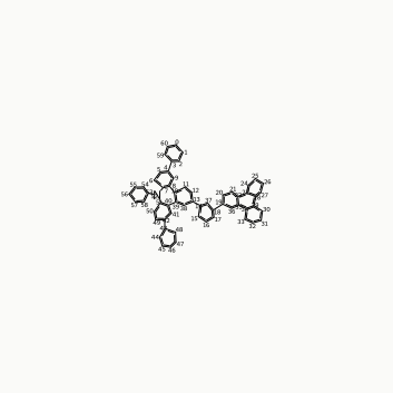 c1ccc(-c2ccc3c(c2)-c2ccc(-c4cccc(-c5ccc6c7ccccc7c7ccccc7c6c5)c4)cc2-c2cc(-c4ccccc4)ccc2N3c2ccccc2)cc1